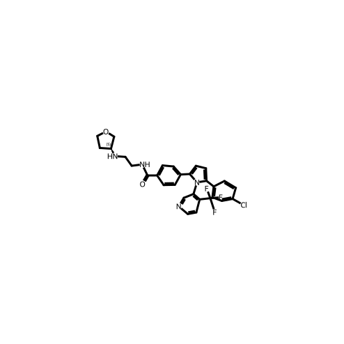 O=C(NCCN[C@H]1CCOC1)c1ccc(-c2ccc(-c3ccc(Cl)cc3)n2-c2cnccc2C(F)(F)F)cc1